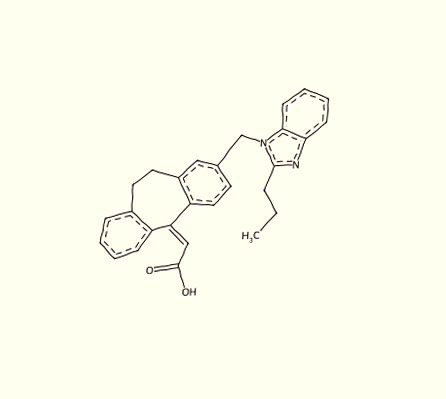 CCCc1nc2ccccc2n1Cc1ccc2c(c1)CCc1ccccc1C2=CC(=O)O